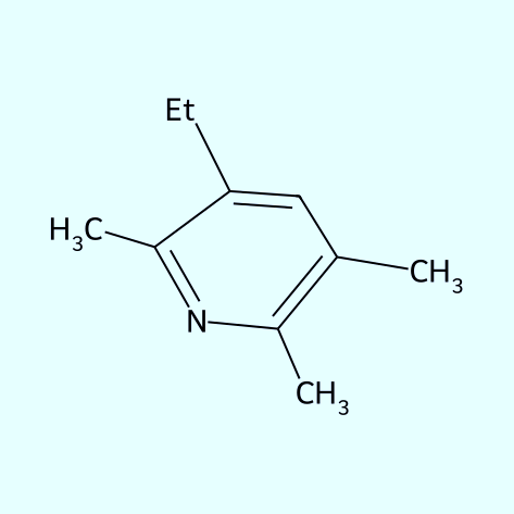 CCc1cc(C)c(C)nc1C